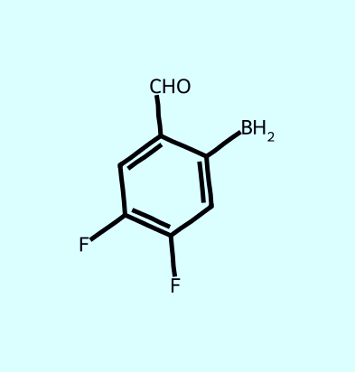 Bc1cc(F)c(F)cc1C=O